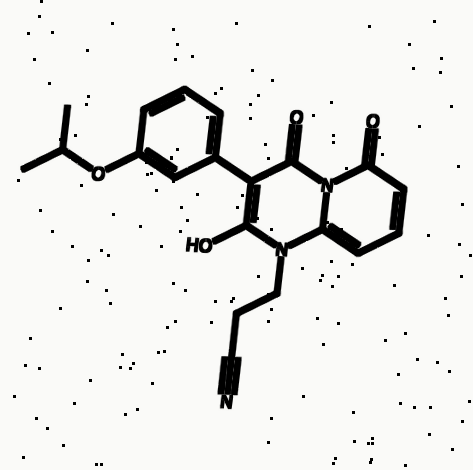 CC(C)Oc1cccc(-c2c(O)n(CCC#N)c3cccc(=O)n3c2=O)c1